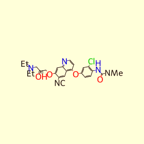 [C-]#[N+]c1cc2c(Oc3ccc(NC(=O)NC)c(Cl)c3)ccnc2cc1OC[C@H](O)CN(CC)CC